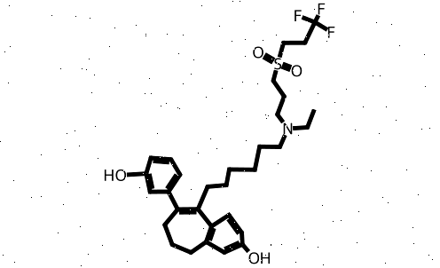 CCN(CCCCCCC1=C(c2cccc(O)c2)CCCc2cc(O)ccc21)CCCS(=O)(=O)CCC(F)(F)F